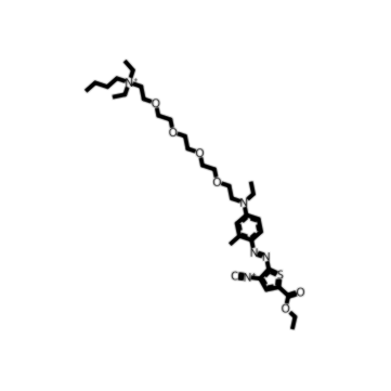 [C-]#[N+]c1cc(C(=O)OCC)sc1/N=N/c1ccc(N(CC)CCOCCOCCOCCOCC[N+](CC)(CC)CCCC)cc1C